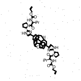 C=CCOC(=O)N[C@H](C(=O)N1CCC[C@H]1c1nc(-c2ccc(C3=CC4=CC[C@@H]3CCc3ccc(c(-c5ccc(-c6c[nH]c([C@@H]7CCCN7C(=O)[C@@H](NC(=O)OCC=C)C(C)C)n6)cc5)c3)CC4)cc2)c[nH]1)C(C)C